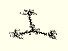 CC(=O)NC1C(OCCCCCCNC(=O)CCC(CCC(=O)NCCCCCCOC2OC(CO)C(O)C(O)C2NC(C)=O)(CCC(=O)NCCCCCCOC2OC(CO)C(O)C(O)C2NC(C)=O)NI)OC(CO)C(O)C1O